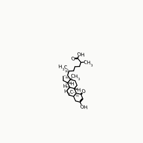 CC(CCC[C@@H](C)[C@H]1CC[C@H]2[C@@H]3CCC4CC(O)=CC(=O)[C@]4(C)[C@H]3CC[C@]12C)C(=O)O